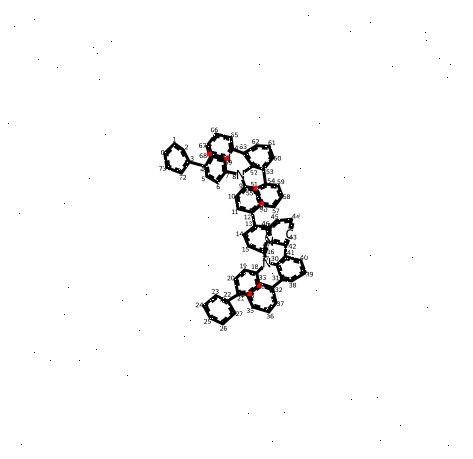 c1ccc(-c2ccc(N(c3ccc(-c4ccc(N(c5ccc(-c6ccccc6)cc5)c5c(-c6ccccc6)cccc5-c5ccccn5)cc4)cc3)c3c(-c4ccccc4)cccc3-c3ccccn3)cc2)cc1